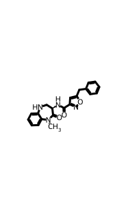 CN1C(=O)[C@H](NC(=O)c2cc(Cc3ccccc3)on2)CNc2ccccc21